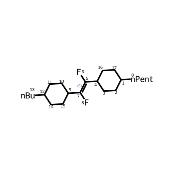 CCCCCC1CCC(/C(F)=C(\F)C2CCC(CCCC)CC2)CC1